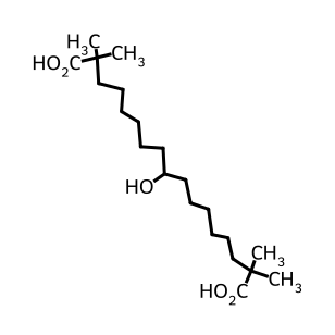 CC(C)(CCCCCCC(O)CCCCCCC(C)(C)C(=O)O)C(=O)O